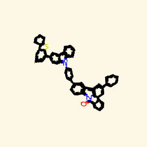 O=c1c2ccccc2c2cc(-c3ccccc3)cc3c4cc(-c5ccc(-n6c7ccccc7c7cc(-c8cccc9c8sc8ccccc89)ccc76)cc5)ccc4n1c23